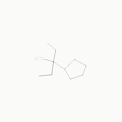 CCC(N)(CC)C1CCCC1